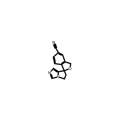 N#Cc1ccc2c(c1)COC21CCn2cncc21